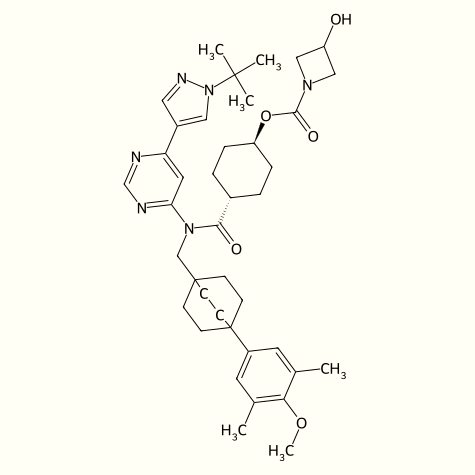 COc1c(C)cc(C23CCC(CN(c4cc(-c5cnn(C(C)(C)C)c5)ncn4)C(=O)[C@H]4CC[C@H](OC(=O)N5CC(O)C5)CC4)(CC2)CC3)cc1C